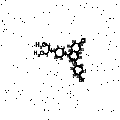 CCN(CC)C1CCN(c2cc(-c3ccc(Br)cc3)cc3cc(Cl)ccc23)CC1